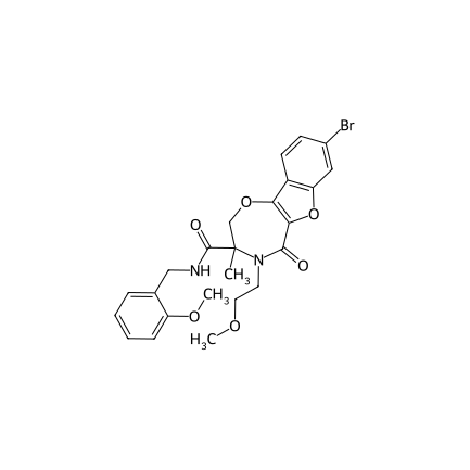 COCCN1C(=O)c2oc3cc(Br)ccc3c2OCC1(C)C(=O)NCc1ccccc1OC